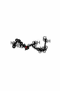 Cc1c(-c2ccc(N3CCc4cccc(C(=O)Nc5nc6ccccc6s5)c4C3)nc2C(=O)O)cnn1CC12CC3(C)CC(C)(C1)CC(OCCN(CCS(=O)(=O)O)COCOCc1ccc(NC(=O)[C@H](C)NC(=O)[C@@H](NC(=O)CCCCCNC(=O)CCl)C(C)C)cc1)(C3)C2